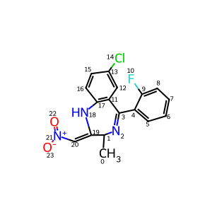 CC1N=C(c2ccccc2F)c2cc(Cl)ccc2N/C1=C\[N+](=O)[O-]